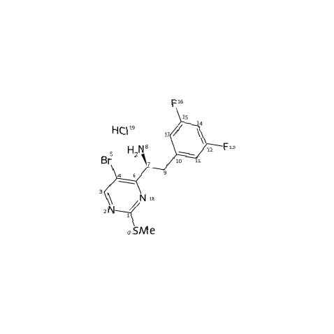 CSc1ncc(Br)c([C@@H](N)Cc2cc(F)cc(F)c2)n1.Cl